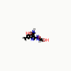 CC(C)c1ccc([C@](O)(c2cncc(-c3noc(C(C)(C)CO)n3)c2)C2(C)CN(C)C2)cc1